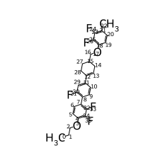 CCCOc1ccc(-c2ccc(C3=CCC(COc4ccc(C)c(F)c4F)CC3)cc2F)c(F)c1F